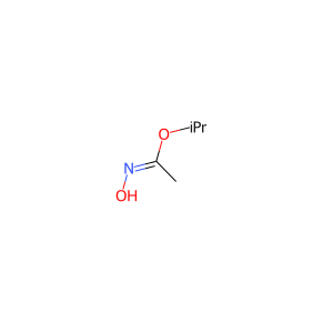 C/C(=N\O)OC(C)C